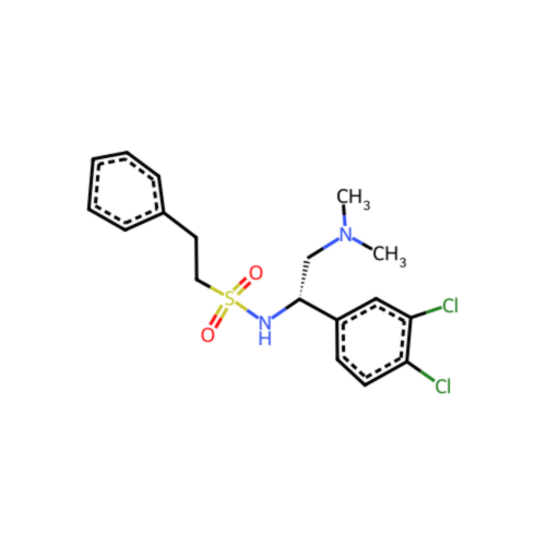 CN(C)C[C@@H](NS(=O)(=O)CCc1ccccc1)c1ccc(Cl)c(Cl)c1